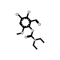 CCN(CC)C(=O)Oc1c(OC)cc(Cl)c(Cl)c1C=O